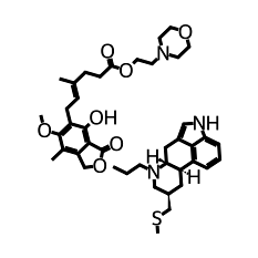 CCCN1C[C@H](CSC)C[C@@H]2c3cccc4[nH]cc(c34)C[C@H]21.COc1c(C)c2c(c(O)c1C/C=C(\C)CCC(=O)OCCN1CCOCC1)C(=O)OC2